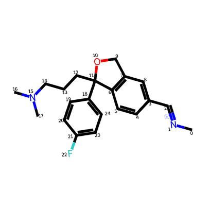 C/N=C/c1ccc2c(c1)COC2(CCCN(C)C)c1ccc(F)cc1